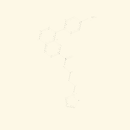 COc1ccc(-c2cncc3ccc(C(=O)NCCCn4ccnc4)nc23)cc1